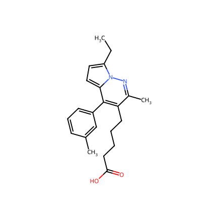 CCc1ccc2c(-c3cccc(C)c3)c(CCCCC(=O)O)c(C)nn12